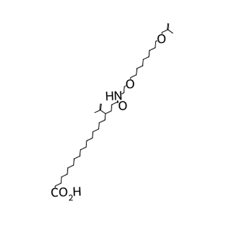 C=C(C)COCCCCCCCCCOCCNC(=O)CCC(CCCCCCCCCCCCCCCCC(=O)O)C(=C)C